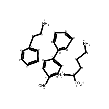 NCCCC(N)C(=O)O.NCCc1ccccc1.O=Cc1ccc(-c2ccccc2)cc1